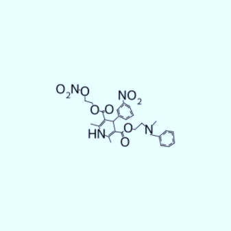 CC1=C(C(=O)OCCO[N+](=O)[O-])C(c2cccc([N+](=O)[O-])c2)C(C(=O)OCCN(C)Cc2ccccc2)=C(C)N1